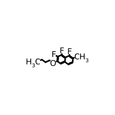 CCCCOc1cc2ccc(C)c(F)c2c(F)c1F